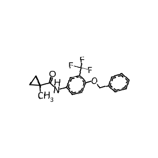 CC1(C(=O)Nc2ccc(OCc3ccccc3)c(C(F)(F)F)c2)CC1